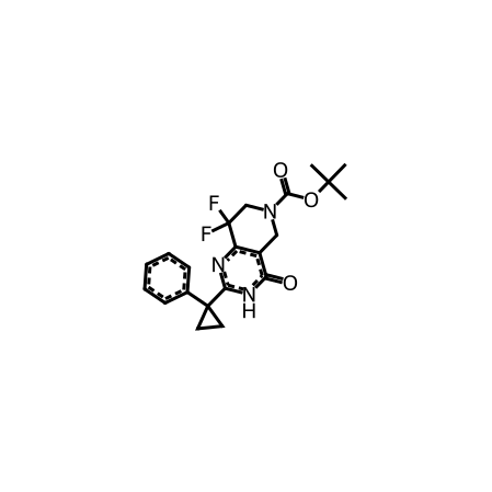 CC(C)(C)OC(=O)N1Cc2c(nc(C3(c4ccccc4)CC3)[nH]c2=O)C(F)(F)C1